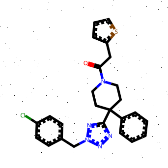 O=C(Cc1cccs1)N1CCC(c2ccccc2)(c2nnn(Cc3ccc(Cl)cc3)n2)CC1